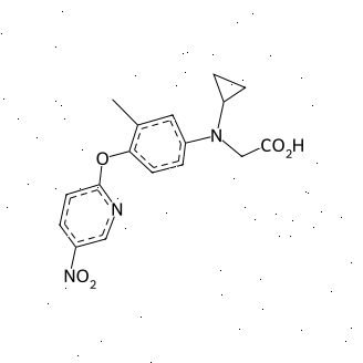 Cc1cc(N(CC(=O)O)C2CC2)ccc1Oc1ccc([N+](=O)[O-])cn1